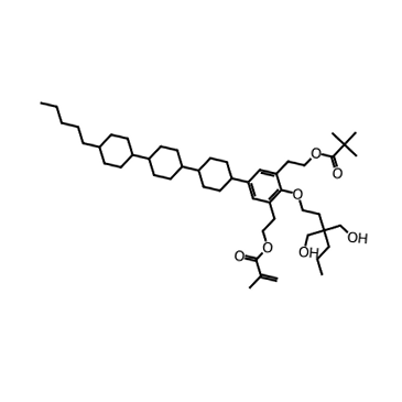 C=C(C)C(=O)OCCc1cc(C2CCC(C3CCC(C4CCC(CCCCC)CC4)CC3)CC2)cc(CCOC(=O)C(C)(C)C)c1OCCC(CO)(CO)CCC